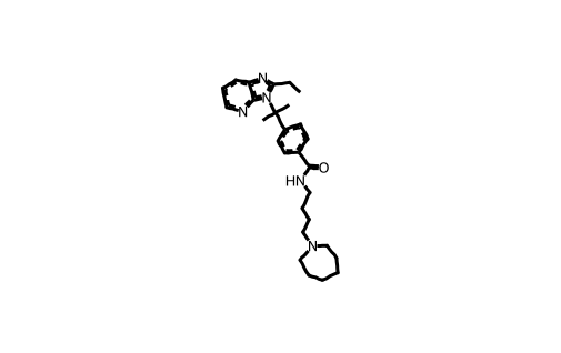 CCc1nc2cccnc2n1C(C)(C)c1ccc(C(=O)NCCCCN2CCCCCC2)cc1